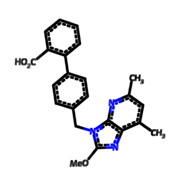 COc1nc2c(C)cc(C)nc2n1Cc1ccc(-c2ccccc2C(=O)O)cc1